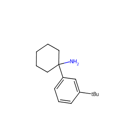 CC(C)(C)c1cccc(C2(N)CCCCC2)c1